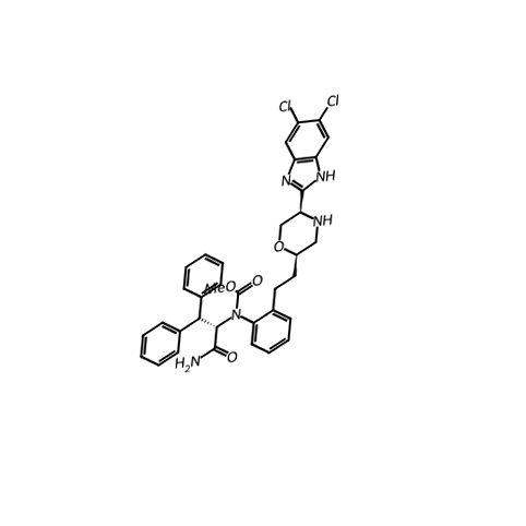 COC(=O)N(c1ccccc1CC[C@@H]1CN[C@H](c2nc3cc(Cl)c(Cl)cc3[nH]2)CO1)[C@H](C(N)=O)C(c1ccccc1)c1ccccc1